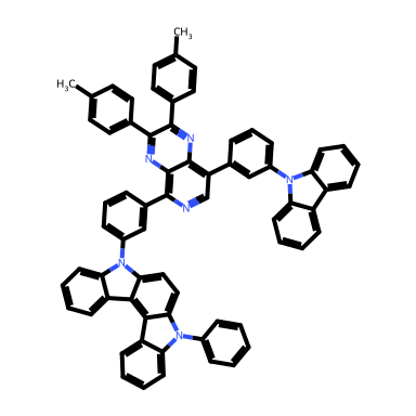 Cc1ccc(-c2nc3c(-c4cccc(-n5c6ccccc6c6ccccc65)c4)cnc(-c4cccc(-n5c6ccccc6c6c7c8ccccc8n(-c8ccccc8)c7ccc65)c4)c3nc2-c2ccc(C)cc2)cc1